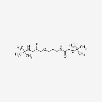 CC(C)(C)NCC(F)COCCCNC(=O)COC(C)(C)C